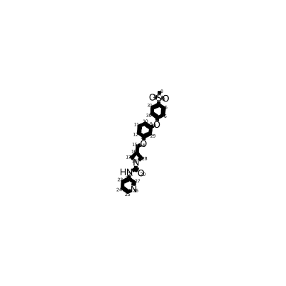 CS(=O)(=O)c1ccc(Oc2cccc(OCC3CN(C(=O)Nc4cccnc4)C3)c2)cc1